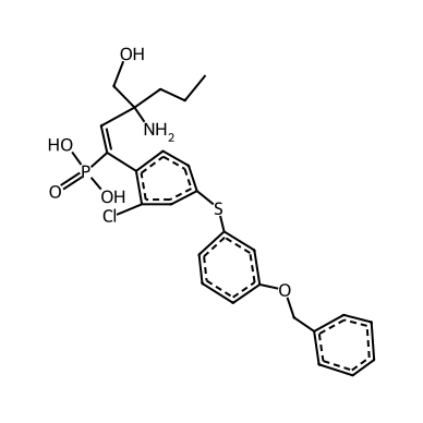 CCCC(N)(C=C(c1ccc(Sc2cccc(OCc3ccccc3)c2)cc1Cl)P(=O)(O)O)CO